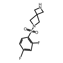 O=S(=O)(c1ccc(F)cc1F)N1CC2(CNC2)C1